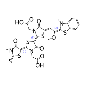 CO/C(C=c1s/c(=c2/s/c(=C3/SC(=S)N(C)C3=O)n(CC(=O)O)c2=O)n(CC(=O)O)c1=O)=C1\Sc2ccccc2N1C